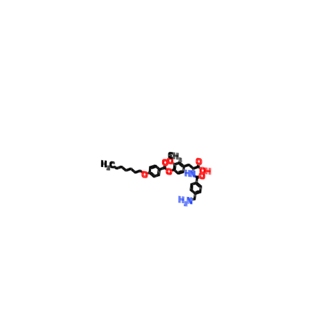 CCCCCCCOc1ccc(C(=O)Oc2ccc(CC(NC(=O)c3ccc(CN)cc3)C(=O)O)cc2OC)cc1